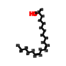 [CH2]C(O)CCCCCCCC/C=C\C/C=C\CCCCC